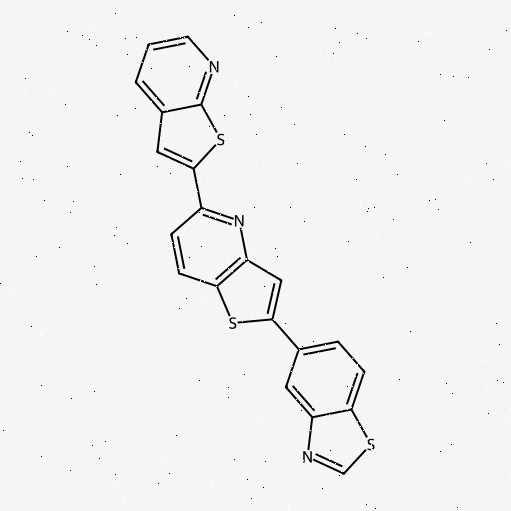 c1cnc2sc(-c3ccc4sc(-c5ccc6scnc6c5)cc4n3)cc2c1